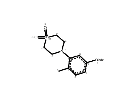 COc1ccc(C)c(N2CCS(=O)(=O)CC2)c1